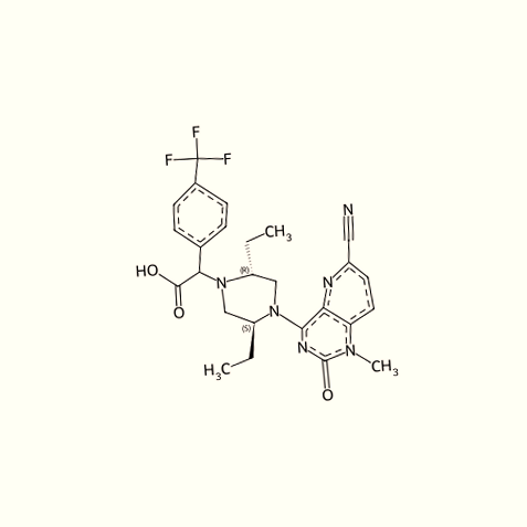 CC[C@H]1CN(C(C(=O)O)c2ccc(C(F)(F)F)cc2)[C@H](CC)CN1c1nc(=O)n(C)c2ccc(C#N)nc12